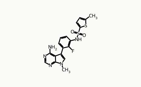 Cc1ccc(S(=O)(=O)Nc2cccc(-c3cn(C)c4ncnc(N)c34)c2F)s1